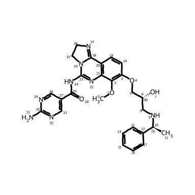 COc1c(OC[C@H](O)CN[C@@H](C)c2ccccc2)ccc2c1N=C(NC(=O)c1cnc(N)nc1)N1CCN=C21